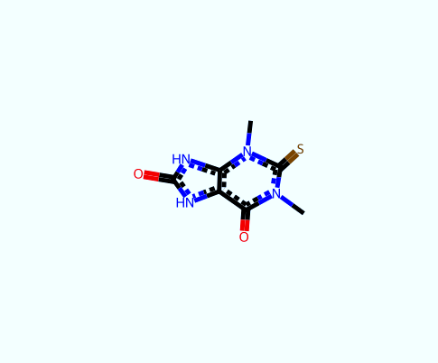 Cn1c(=O)c2[nH]c(=O)[nH]c2n(C)c1=S